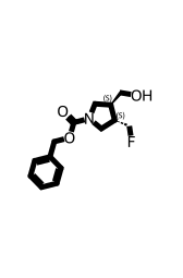 O=C(OCc1ccccc1)N1C[C@@H](CO)[C@H](CF)C1